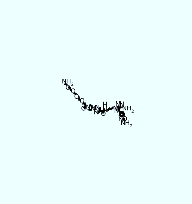 NCCOCCOCCOCCOCCC(=O)N1CCN(c2ncc(C(=O)NCCCCn3nc(-c4ccc5oc(N)nc5c4)c4c(N)ncnc43)cn2)CC1